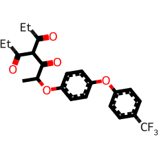 CCC(=O)C(C(=O)CC)C(=O)C(C)Oc1ccc(Oc2ccc(C(F)(F)F)cc2)cc1